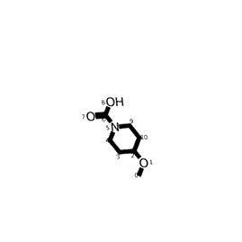 COC1CCN(C(=O)O)CC1